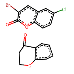 O=C1CCOc2ccccc21.O=c1oc2ccc(Cl)cc2cc1Br